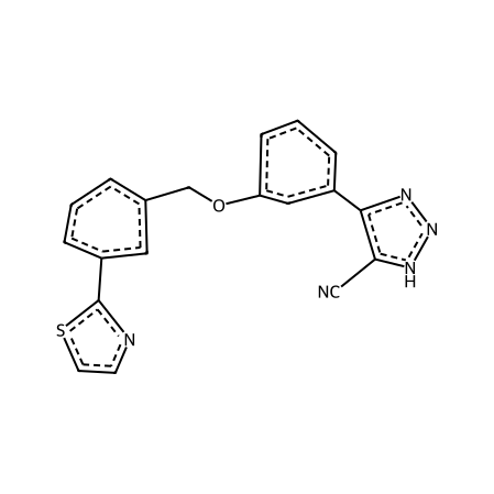 N#Cc1[nH]nnc1-c1cccc(OCc2cccc(-c3nccs3)c2)c1